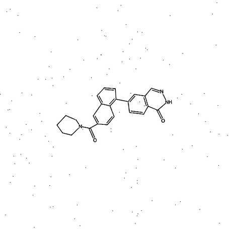 O=C(c1ccc2c(-c3ccc4c(=O)[nH]ncc4c3)cccc2c1)N1CCCCC1